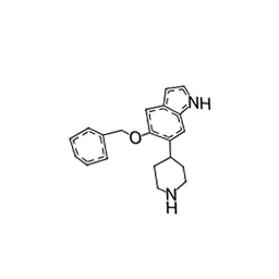 c1ccc(COc2cc3cc[nH]c3cc2C2CCNCC2)cc1